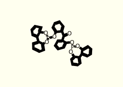 O=C(c1ccccc1Op1oc2ccccc2c2ccccc2o1)c1ccccc1Op1oc2ccccc2c2ccccc2o1